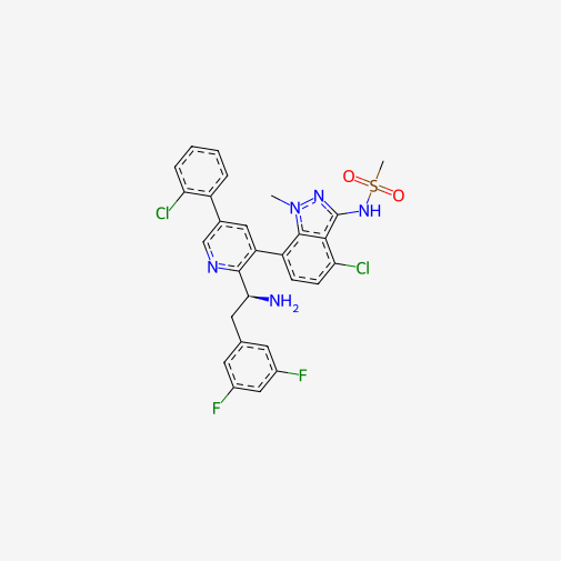 Cn1nc(NS(C)(=O)=O)c2c(Cl)ccc(-c3cc(-c4ccccc4Cl)cnc3[C@@H](N)Cc3cc(F)cc(F)c3)c21